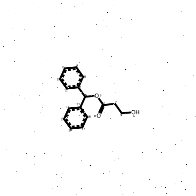 O=C(CCO)OC(c1ccccc1)c1ccccc1